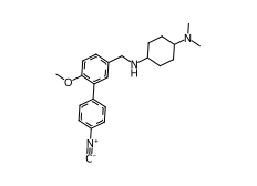 [C-]#[N+]c1ccc(-c2cc(CNC3CCC(N(C)C)CC3)ccc2OC)cc1